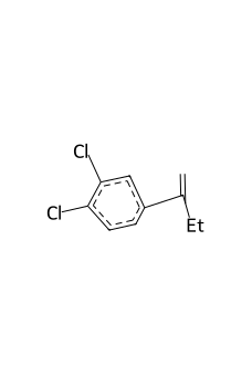 C=C(CC)c1ccc(Cl)c(Cl)c1